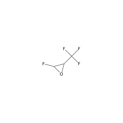 FC1OC1C(F)(F)F